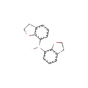 CP(c1cccc2c1OCC2)c1cccc2c1OCC2